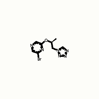 C[C@@H](Cn1cnnn1)Oc1cncc(Br)n1